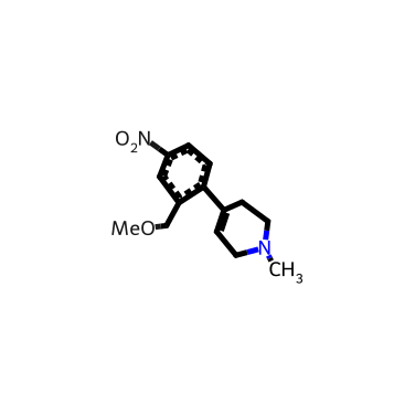 COCc1cc([N+](=O)[O-])ccc1C1=CCN(C)CC1